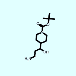 CC(C)(C)OC(=O)N1CCC(C(O)CCN)CC1